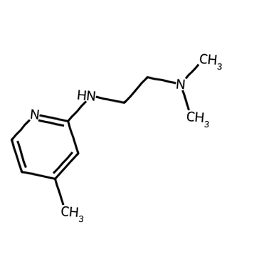 Cc1ccnc(NCCN(C)C)c1